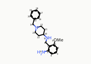 COc1cccc(N)c1CNC1CCN(Cc2ccccc2)CC1